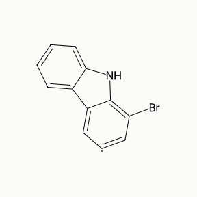 Brc1c[c]cc2c1[nH]c1ccccc12